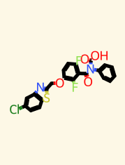 O=C(O)N(C(=O)c1c(F)ccc(OCc2nc3cc(Cl)ccc3s2)c1F)c1ccccc1